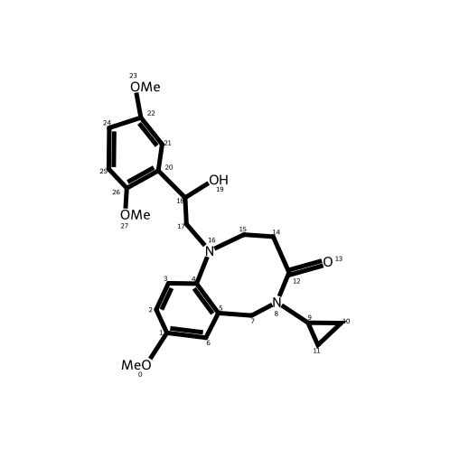 COc1ccc2c(c1)CN(C1CC1)C(=O)CCN2CC(O)c1cc(OC)ccc1OC